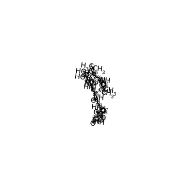 CC(C)N(CC1OC(n2cnc3c(NCCCCNC(=O)CCCNc4cccc5c4C(=O)N(C4CCC(=O)NC4=O)C5=O)ncnc32)C(O)C1O)C1CC(CCc2nc3cc(C(C)(C)C)ccc3[nH]2)C1